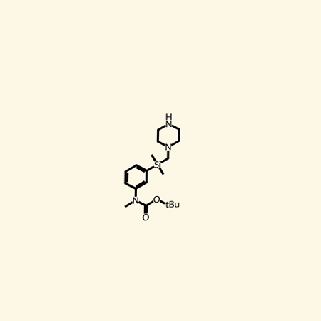 CN(C(=O)OC(C)(C)C)c1cccc([Si](C)(C)CN2CCNCC2)c1